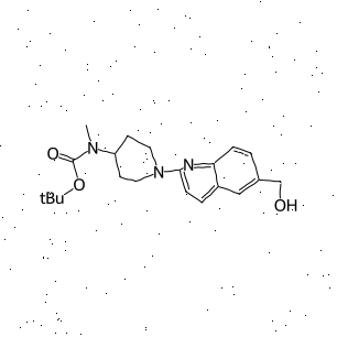 CN(C(=O)OC(C)(C)C)C1CCN(c2ccc3cc(CO)ccc3n2)CC1